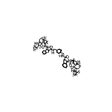 CN[C@@H](C)C(=O)N[C@H]1CCS[C@H]2CC(C)(C)[C@@H](C(=O)N[C@H]3c4ccccc4C[C@H]3C(=O)NCc3ccc(CNC(=O)[C@@H]4Cc5ccccc5[C@@H]4NC(=O)[C@H]4N5C(=O)[C@@H](NC(=S)[C@H](C)NC)CCS[C@H]5CC4(C)C)cc3)N2C1=O